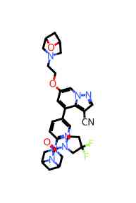 N#Cc1cnn2cc(OCCN3CC4CC(C3)O4)cc(-c3ccc(N4CC5CC(C4)N5C(=O)N4CCC(F)(F)C4)nc3)c12